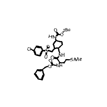 CSCCC(NC(=O)OCc1ccccc1)C(=O)NC1CCC(NC(=O)OC(C)(C)C)CC1CS(=O)(=O)c1ccc(Cl)cc1